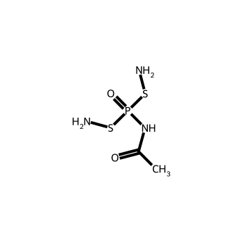 CC(=O)NP(=O)(SN)SN